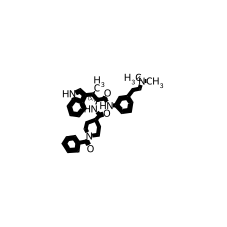 C[C@@H](c1c[nH]c2ccccc12)[C@@H](NC(=O)C1CCN(C(=O)c2ccccc2)CC1)C(=O)Nc1cccc(CCN(C)C)c1